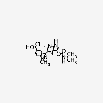 CC(C)NC(=O)Oc1c[nH]c2ncc(-c3nn(C)c4ccc(C(C)O)cc34)nc12